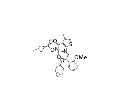 COc1ccccc1[C@H](Cn1c(=O)n(OC(=O)C2CC(C)C2)c(=O)c2c(C)csc21)OC1CCOCC1